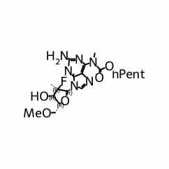 CCCCCOC(=O)N(C)c1nc(N)nc2c1ncn2[C@@H]1O[C@H](COC)[C@@H](O)[C@@]1(C)F